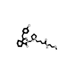 COCCNC(=O)CCCN1CCC[C@@H]1Cn1nc(Cc2ccc(Cl)cc2)c2ccccc2c1=O